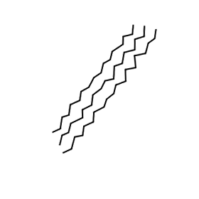 CCCCCCCCCCCCCCCCC.CCCCCCCCCCCCCCCCCC.CCCCCCCCCCCCCCCCCCC